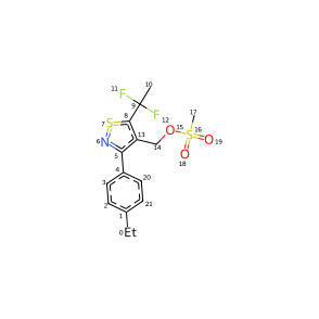 CCc1ccc(-c2nsc(C(C)(F)F)c2COS(C)(=O)=O)cc1